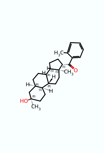 Cc1ccccc1C(=O)[C@H]1CC[C@H]2[C@@H]3CC[C@@H]4C[C@](C)(O)CC[C@@H]4[C@H]3CC[C@]12C